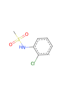 CS(=O)(=O)Nc1ccc[c]c1Cl